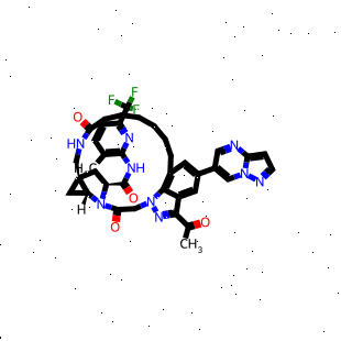 CC(=O)c1nn2c3c(cc(-c4cnc5ccnn5c4)cc13)CCCCCCC(=O)NC[C@@]13C[C@@H](C(=O)Nc4nc(C(F)(F)F)ccc4C)N(C(=O)C2)[C@@H]1C3